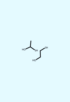 CC(O)S.OCCS